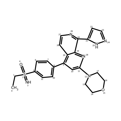 CCS(=N)(=O)c1ccc(-c2cc(N3CCOCC3)nc3c(-c4ccn[nH]4)nccc23)cc1